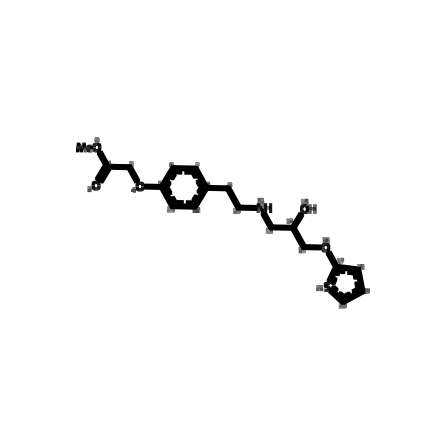 COC(=O)COc1ccc(CCNCC(O)COc2cccs2)cc1